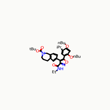 CCCCOc1cc(OCCCC)c(C(C)C)cc1-c1onc(C(=O)NCC)c1-c1ccc2c(c1)CCCN(C(=O)OC(C)(C)C)C2